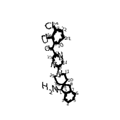 N[C@@H]1c2ccccc2CC12CCN(c1cnc(C(=O)c3cccc(Cl)c3Cl)cn1)CC2